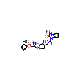 CCn1c(=O)n(C(=O)NCC2CCN(CC(COc3ccccc3)NC(=O)O)CC2)c2ccccc21